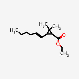 CCCCC=CC1C(C(=O)OCC)C1(C)C